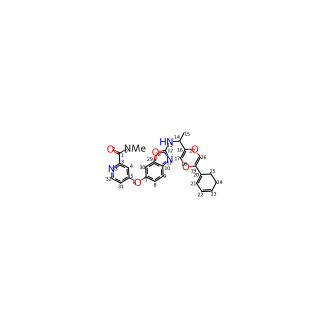 CNC(=O)c1cc(Oc2ccc3nc(NC(C)C4=COC(C5=CC=CCC5)=CO4)oc3c2)ccn1